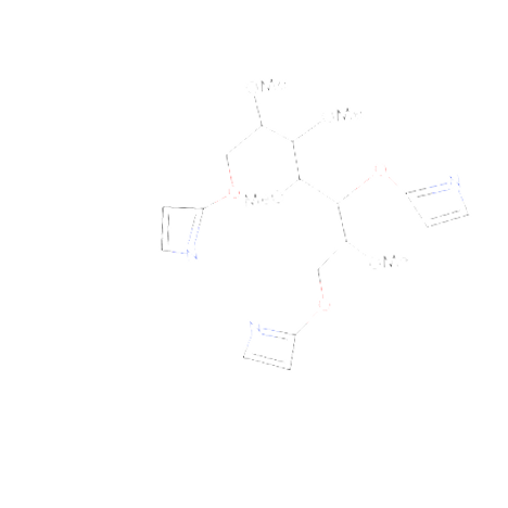 COC(COC1=NC=C1)C(OC)C(OC)C(OC1=NC=C1)C(COC1=NC=C1)OC